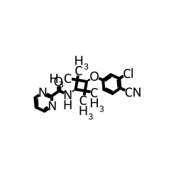 CC1(C)[C@H](NC(=O)c2ncccn2)C(C)(C)[C@H]1Oc1ccc(C#N)c(Cl)c1